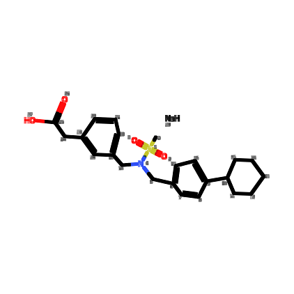 CS(=O)(=O)N(Cc1ccc(C2CCCCC2)cc1)Cc1cccc(CC(=O)O)c1.[NaH]